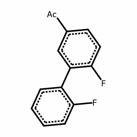 CC(=O)c1ccc(F)c(-c2ccccc2F)c1